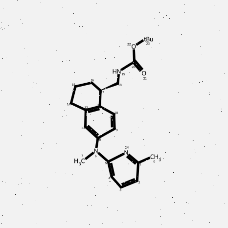 Cc1cccc(N(C)c2ccc3c(c2)CCC[C@H]3CNC(=O)OC(C)(C)C)n1